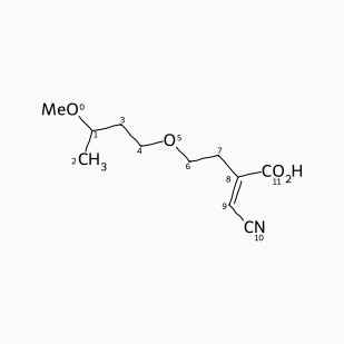 COC(C)CCOCCC(=CC#N)C(=O)O